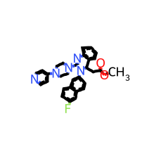 COC(=O)CC1c2ccccc2N=C(N2CCN(c3ccncc3)CC2)N1c1ccc2cc(F)ccc2c1